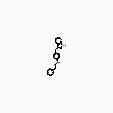 C(=Cc1ccccc1)Nc1ccc(Cc2c[nH]c3ncccc23)cn1